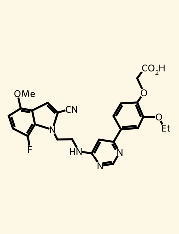 CCOc1cc(-c2cc(NCCn3c(C#N)cc4c(OC)ccc(F)c43)ncn2)ccc1OCC(=O)O